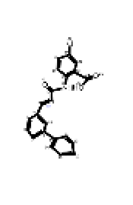 O=C(/C=C/c1cccc(-c2ccccc2)c1)Nc1ccc(Cl)cc1C(=O)O